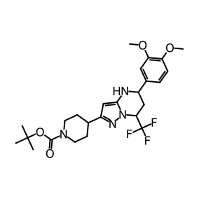 COc1ccc(C2CC(C(F)(F)F)n3nc(C4CCN(C(=O)OC(C)(C)C)CC4)cc3N2)cc1OC